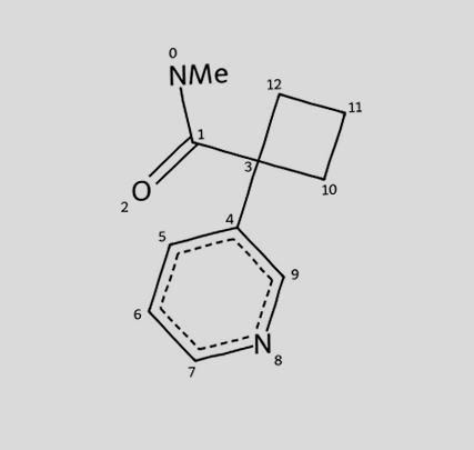 CNC(=O)C1(c2cccnc2)CCC1